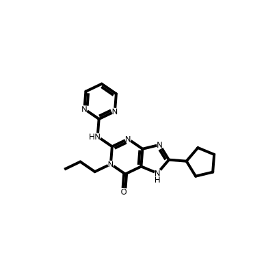 CCCn1c(Nc2ncccn2)nc2nc(C3CCCC3)[nH]c2c1=O